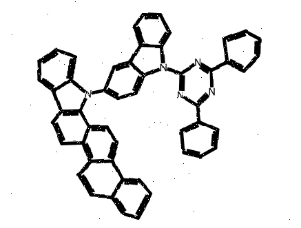 c1ccc(-c2nc(-c3ccccc3)nc(-n3c4ccccc4c4cc(-n5c6ccccc6c6ccc7c8ccc9ccccc9c8ccc7c65)ccc43)n2)cc1